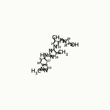 Cc1cn(-c2nc(Nc3ccc4c(cnn4C)c3)ncc2C)cc1CN1CC(O)C1